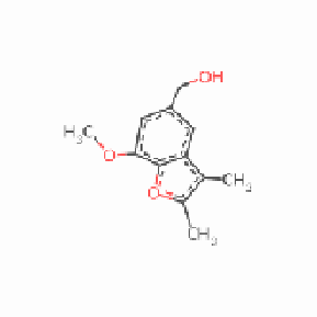 COc1cc(CO)cc2c(C)c(C)oc12